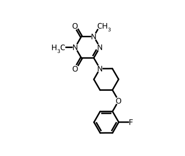 Cn1nc(N2CCC(Oc3ccccc3F)CC2)c(=O)n(C)c1=O